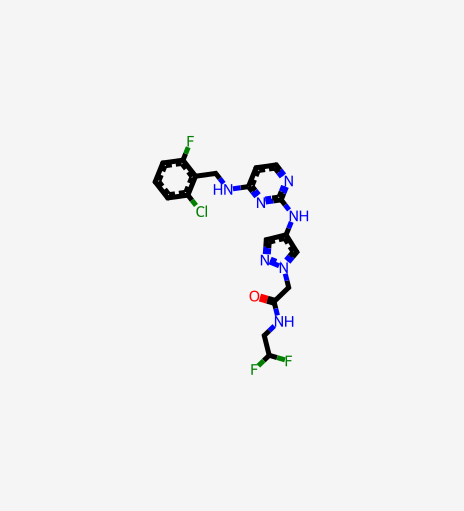 O=C(Cn1cc(Nc2nccc(NCc3c(F)cccc3Cl)n2)cn1)NCC(F)F